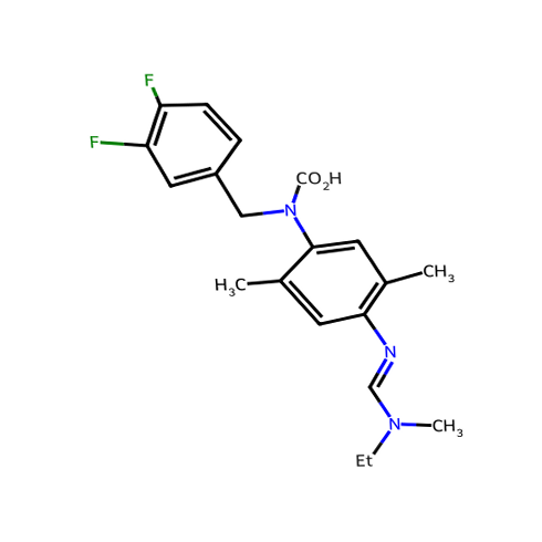 CCN(C)C=Nc1cc(C)c(N(Cc2ccc(F)c(F)c2)C(=O)O)cc1C